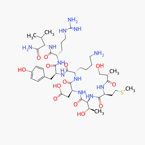 CSCC[C@H](NC(=O)[C@@H](C)CO)C(=O)N[C@H](C(=O)N[C@@H](CC(=O)O)C(=O)N[C@@H](CCCCN)C(=O)N[C@@H](Cc1ccc(O)cc1)C(=O)N[C@@H](CCCNC(=N)N)C(=O)N[C@H](C(N)=O)C(C)C)[C@@H](C)O